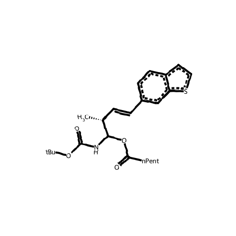 CCCCCC(=O)OC(NC(=O)OC(C)(C)C)[C@H](C)C=Cc1ccc2ccsc2c1